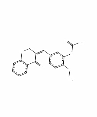 COc1ccc(C=C2COc3ccccc3C2=O)cc1OC(C)=O